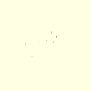 CCOC(=O)C(C(=O)OCC)c1cc(C)c(OC)c(C)c1